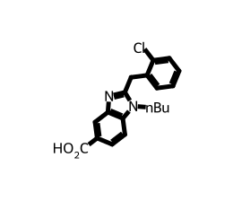 CCCCn1c(Cc2ccccc2Cl)nc2cc(C(=O)O)ccc21